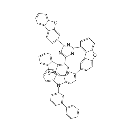 c1ccc(-c2cccc(-n3c4ccccc4c4cc(-c5ccc6oc7cccc(-c8nc(-c9ccc%10c(c9)oc9ccccc9%10)nc(-c9cccc%10sc%11ccccc%11c9%10)n8)c7c6c5)ccc43)c2)cc1